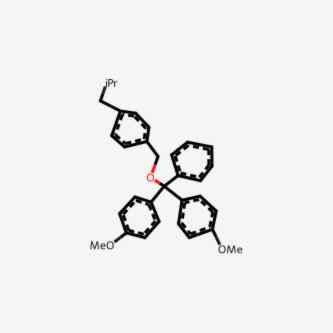 COc1ccc(C(OCc2ccc(CC(C)C)cc2)(c2ccccc2)c2ccc(OC)cc2)cc1